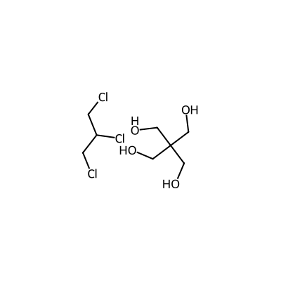 ClCC(Cl)CCl.OCC(CO)(CO)CO